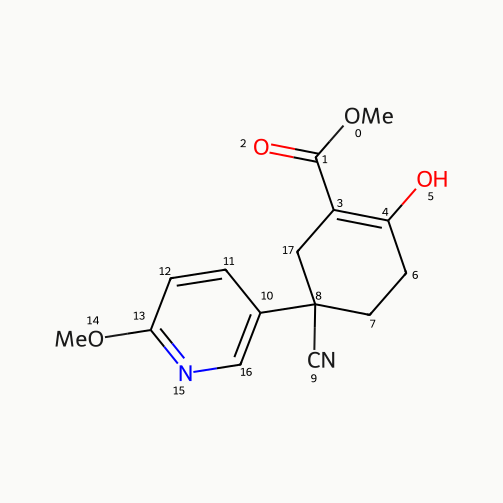 COC(=O)C1=C(O)CCC(C#N)(c2ccc(OC)nc2)C1